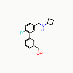 OCc1cccc(-c2cc(CNC3CCC3)ccc2F)c1